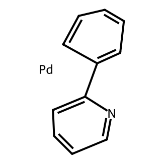 [Pd].c1ccc(-c2ccccn2)cc1